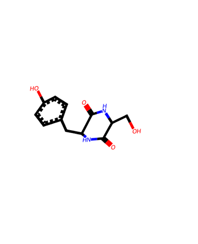 O=C1NC(Cc2ccc(O)cc2)C(=O)NC1CO